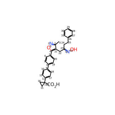 Cc1noc(-c2ccc(-c3ccc(C4(C(=O)O)CC4)cc3)cc2)c1C/C(CCc1ccccc1)=N/O